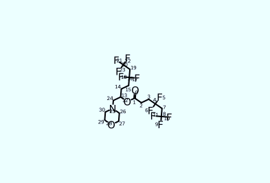 O=C(CCC(F)(F)CC(F)(F)F)OC(CCC(F)(F)CC(F)(F)F)CN1CCOCC1